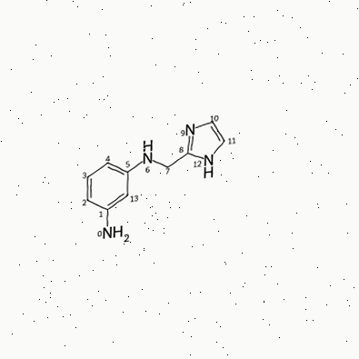 Nc1cccc(NCc2ncc[nH]2)c1